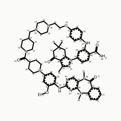 CCOc1cc(N2CCC(C(=O)N3CCC(CN4CCN(CCOc5ccc(Nc6cc(-n7nc(C)c8c7CC(C)(C)CC8=O)ccc6C(N)=O)cc5)CC4)CC3)CC2)ccc1Nc1ncc2c(n1)N(C)c1ccccc1C(=O)N2C